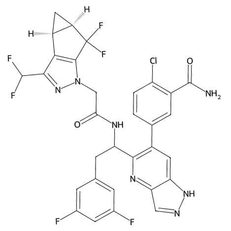 NC(=O)c1cc(-c2cc3[nH]ncc3nc2C(Cc2cc(F)cc(F)c2)NC(=O)Cn2nc(C(F)F)c3c2C(F)(F)[C@@H]2C[C@H]32)ccc1Cl